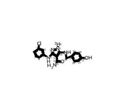 [2H]n1nc(Nc2cccc(Cl)c2)c(C(N)=O)c1NCc1ccc(O)cc1